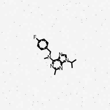 Cc1nc(N(C)Cc2ccc(F)cc2)c2ncn(C(C)C)c2n1